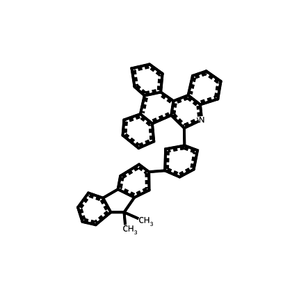 CC1(C)c2ccccc2-c2ccc(-c3cccc(-c4nc5ccccc5c5c6ccccc6c6ccccc6c45)c3)cc21